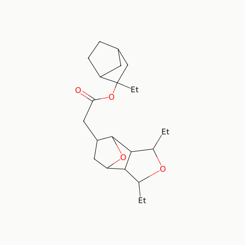 CCC1OC(CC)C2C3OC(CC3CC(=O)OC3(CC)CC4CCC3C4)C12